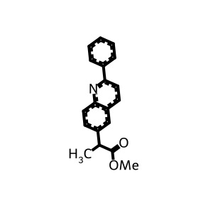 COC(=O)C(C)c1ccc2nc(-c3ccccc3)ccc2c1